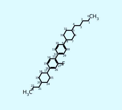 CCCCCC1CCC(c2ccc(-c3ccc(C4CCC(CCC)CC4)cc3F)cc2)CC1